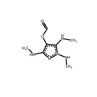 CNc1nn(NC)c(NC)c1OC=O